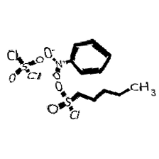 CCCCCS(=O)(=O)Cl.O=S(=O)(Cl)Cl.O=[N+]([O-])c1ccccc1